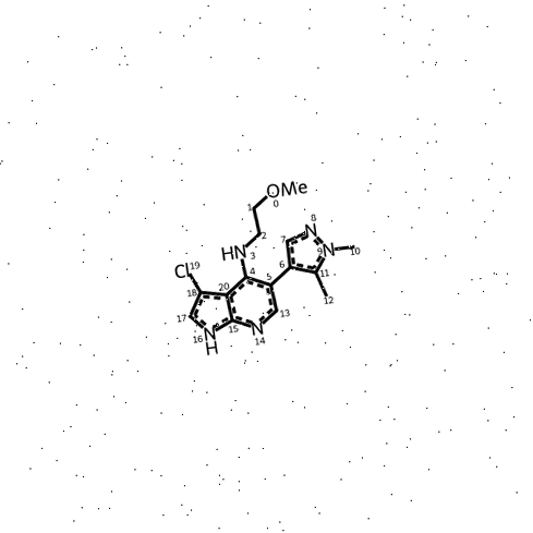 COCCNc1c(-c2cnn(C)c2C)cnc2[nH]cc(Cl)c12